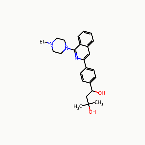 CCN1CCN(c2nc(-c3ccc(C(O)CC(C)(C)O)cc3)cc3ccccc23)CC1